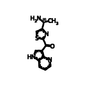 C[C@H](N)c1csc(C(=O)c2c[nH]c3cccnc23)n1